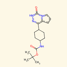 CC(C)(C)OC(=O)NC1CCC(c2n[nH]c(=O)n3cccc23)CC1